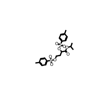 Cc1ccc(S(=O)(=O)OCCC(OS(=O)(=O)c2ccc(C)cc2)C(=O)OC(C)C)cc1